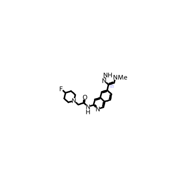 CN/C=C(\N=N)c1ccc2cnc(NC(=O)CN3CCC(F)CC3)cc2c1